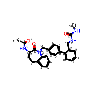 CCCC(=O)N[C@@H]1CCc2ccccc2N(Cc2ccc(-c3ccccc3CNC(=O)NCC)cc2)C1=O